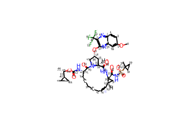 COc1ccc2nc(C(F)(F)F)c(O[C@@H]3C[C@H]4C(=O)N[C@]5(C(=O)NS(=O)(=O)C6(C)CC6)C[C@H]5/C=C\CCCCC[C@H](NC(=O)O[C@@H](C)C5CC5)C(=O)N4C3)nc2c1